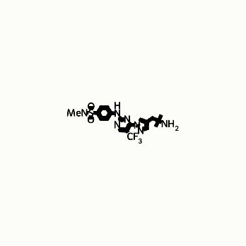 CNS(=O)(=O)c1ccc(Nc2ncc(C(F)(F)F)c(-n3cc(CC(C)(C)N)cn3)n2)cc1